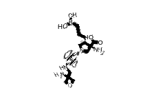 NC1(CNS(=O)(=O)N2C[C@H](CCCB(O)O)[C@](N)(C(=O)O)C2)COC1